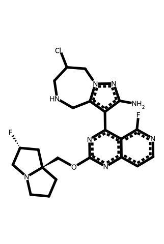 Nc1nn2c(c1-c1nc(OC[C@@]34CCCN3C[C@H](F)C4)nc3ccnc(F)c13)CNCC(Cl)C2